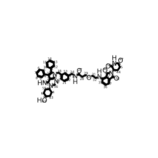 N=c1c2c(-c3ccccc3)c(-c3ccccc3)n(Cc3cccc(CNC(=O)CCOCCNc4cccc5c4C(=O)N(C4CCC(=O)NC4=O)C5=O)c3)c2ncn1C1CCC(O)CC1